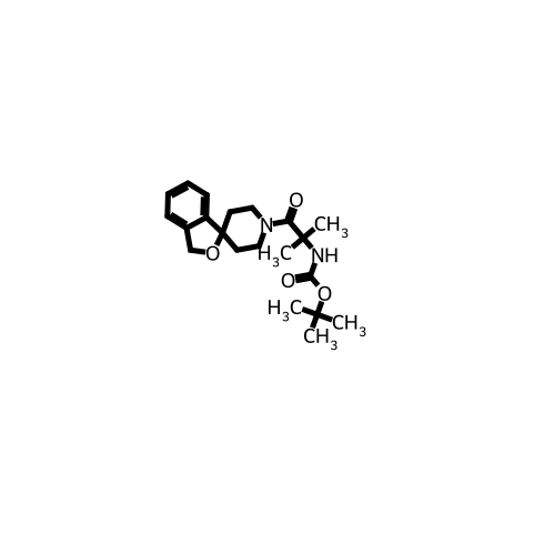 CC(C)(C)OC(=O)NC(C)(C)C(=O)N1CCC2(CC1)OCc1ccccc12